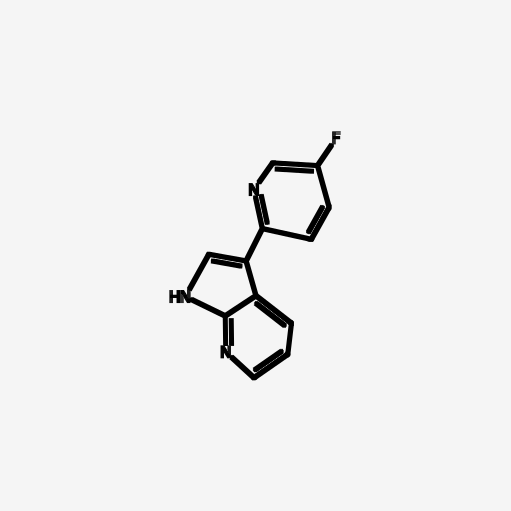 Fc1ccc(-c2c[nH]c3ncccc23)nc1